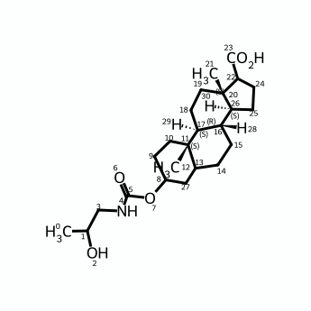 CC(O)CNC(=O)OC1CC[C@@]2(C)C(CC[C@@H]3[C@@H]2CC[C@]2(C)C(C(=O)O)CC[C@@H]32)C1